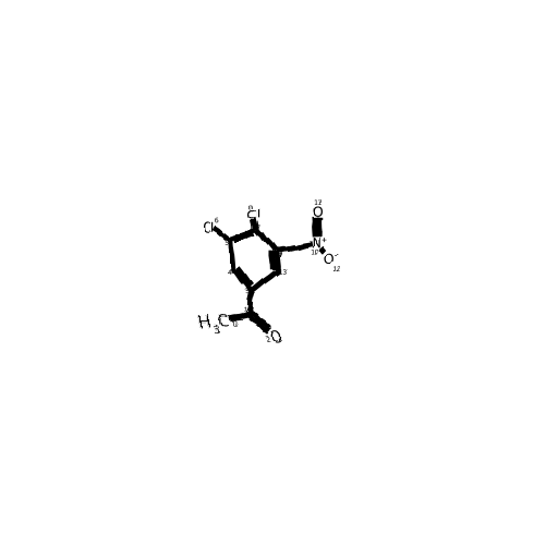 CC(=O)c1cc(Cl)c(Cl)c([N+](=O)[O-])c1